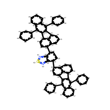 c1ccc(-c2c3c(c(-c4ccccc4)c4ccccc24)-c2ccc(-c4ccc(-c5ccc6c7c(cccc57)-c5c-6c(-c6ccccc6)c6ccccc6c5-c5ccccc5)c5nsnc45)c4cccc-3c24)cc1